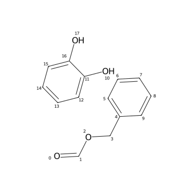 O=COCc1ccccc1.Oc1ccccc1O